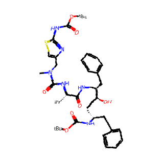 CC(C)[C@H](NC(=O)N(C)Cc1csc(NC(=O)OC(C)(C)C)n1)C(=O)N[C@@H](Cc1ccccc1)[C@@H](O)C[C@H](Cc1ccccc1)NC(=O)OC(C)(C)C